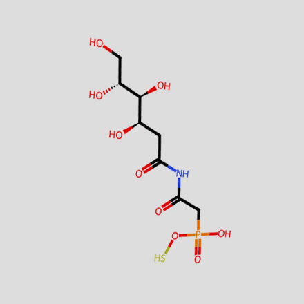 O=C(C[C@@H](O)[C@H](O)[C@H](O)CO)NC(=O)CP(=O)(O)OS